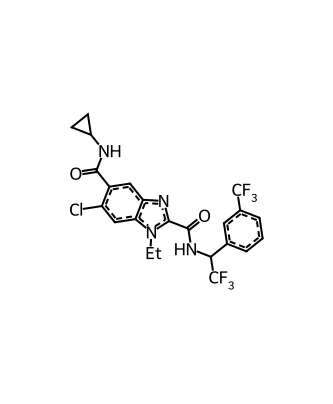 CCn1c(C(=O)NC(c2cccc(C(F)(F)F)c2)C(F)(F)F)nc2cc(C(=O)NC3CC3)c(Cl)cc21